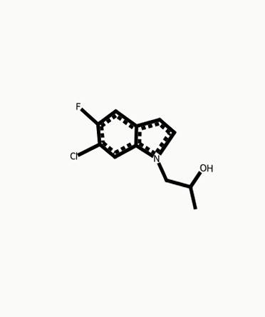 CC(O)Cn1ccc2cc(F)c(Cl)cc21